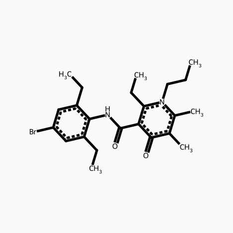 CCCn1c(C)c(C)c(=O)c(C(=O)Nc2c(CC)cc(Br)cc2CC)c1CC